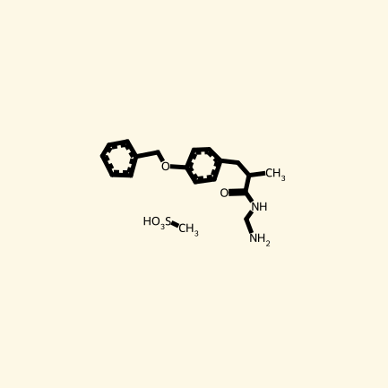 CC(Cc1ccc(OCc2ccccc2)cc1)C(=O)NCN.CS(=O)(=O)O